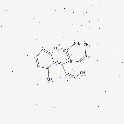 C=c1cccc/c1=C(/C=C\C)C(\C=N/C)=C(/C)N